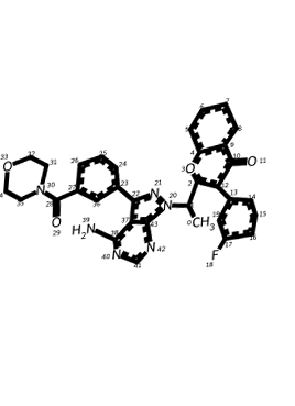 CC(c1oc2ccccc2c(=O)c1-c1cccc(F)c1)n1nc(-c2cccc(C(=O)N3CCOCC3)c2)c2c(N)ncnc21